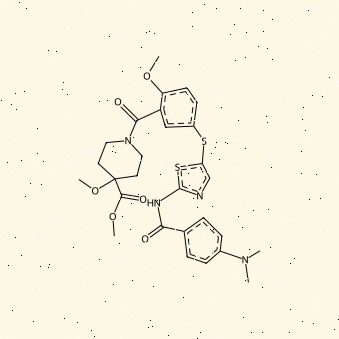 COC(=O)C1(OC)CCN(C(=O)c2cc(Sc3cnc(NC(=O)c4ccc(N(C)C)cc4)s3)ccc2OC)CC1